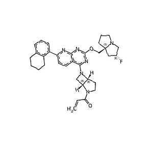 C=CC(=O)N1CC[C@@H]2[C@H]1CN2c1nc(OC[C@@]23CCCN2C[C@H](F)C3)nc2nc(-c3cccc4c3CCCC4)ccc12